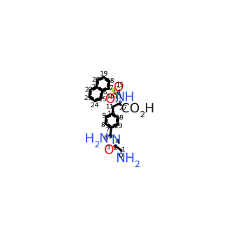 NCC(=O)N=C(N)c1ccc(C[C@H](NS(=O)(=O)c2cccc3ccccc23)C(=O)O)cc1